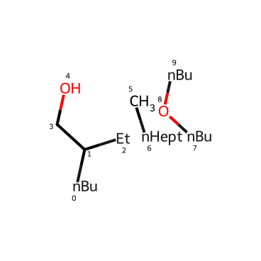 CCCCC(CC)CO.CCCCCCCC.CCCCOCCCC